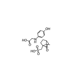 CC1(C)C2CCC1(CS(=O)(=O)O)C(=O)C2.O=C(O)CNc1ccc(O)cc1